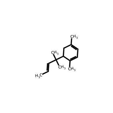 CC=CC(C)(C)C1CC(C)=CC=C1C